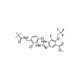 COC(=O)c1cc2nc(Nc3c(Cl)ccc(CNC(=O)C(C)(C)C)c3Cl)[nH]c2c(F)c1OCC(F)(F)F